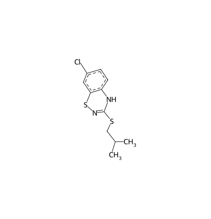 CC(C)CSC1=NSc2cc(Cl)ccc2N1